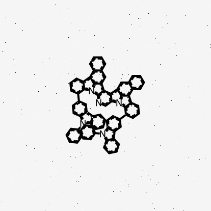 c1ccc(-n2c3ccccc3c3cc(-c4cccc5c6c7ccccc7cc7c8c9c%10cc%11ccccc%11c%11c%12cccc(-c%13ccc%14c(c%13)c%13ccccc%13n%14-c%13ccccc%13)c%12n(c9ncc8n(c45)c76)c%10%11)ccc32)cc1